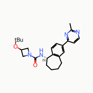 Cc1nccc(-c2ccc3c(c2)CCCC[C@@H]3NC(=O)N2CC(OC(C)(C)C)C2)n1